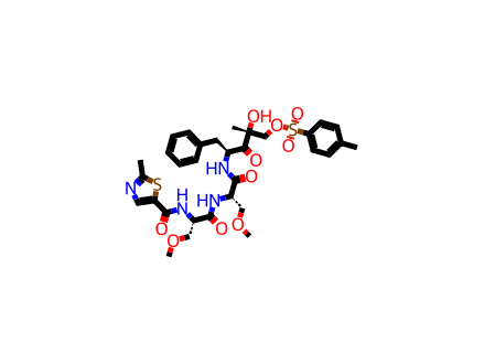 COC[C@H](NC(=O)c1cnc(C)s1)C(=O)N[C@@H](COC)C(=O)N[C@@H](Cc1ccccc1)C(=O)[C@](C)(O)COS(=O)(=O)c1ccc(C)cc1